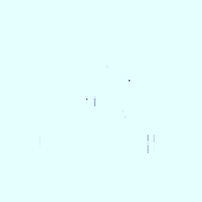 CNS(=O)(=O)c1ccc(N[C@H]2CC[C@@H](C(F)(F)F)CC2)c(-c2cn(C)cn2)c1